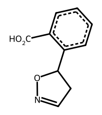 O=C(O)c1ccccc1C1CC=NO1